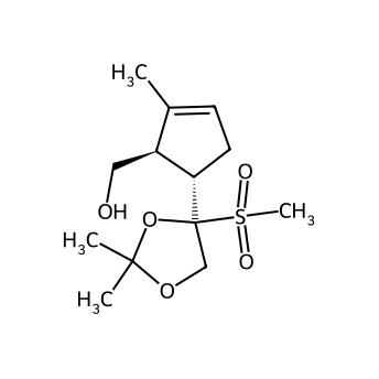 CC1=CC[C@H](C2(S(C)(=O)=O)COC(C)(C)O2)[C@H]1CO